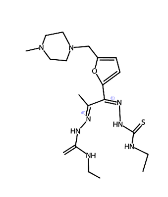 C=C(NCC)N/N=C(C)/C(=N\NC(=S)NCC)c1ccc(CN2CCN(C)CC2)o1